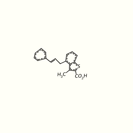 Cc1c(C(=O)O)sc2cccc(C/C=C/c3ccccc3)c12